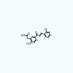 O=C(O)Cc1cc(C(=O)C=Cc2ccccc2Cl)ccc1O